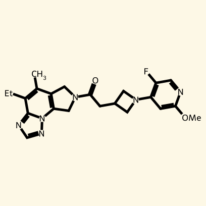 CCc1c(C)c2c(n3ncnc13)CN(C(=O)CC1CN(c3cc(OC)ncc3F)C1)C2